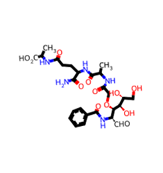 CC(NC(=O)CCC(NC(=O)C(C)NC(=O)CO[C@@H]([C@H](O)[C@H](O)CO)[C@H](C=O)NC(=O)c1ccccc1)C(N)=O)C(=O)O